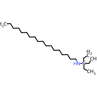 CCCCCCCCCCCCCCCCCCN[Si](CC)(CC)CC